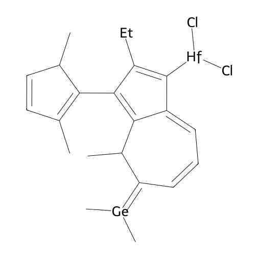 CCC1=[C]([Hf]([Cl])[Cl])C2=CC=C[C](=[Ge]([CH3])[CH3])C(C)C2=C1C1=C(C)C=CC1C